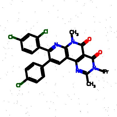 Cc1nc2c(c(=O)n1C(C)C)c(=O)n(C)c1nc(-c3ccc(Cl)cc3Cl)c(-c3ccc(Cl)cc3)cc21